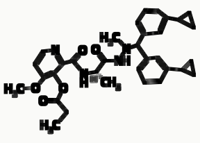 CCC(=O)Oc1c(OC)ccnc1C(=O)N[C@@H](C)C(=O)NN(C)C(c1cccc(C2CC2)c1)c1cccc(C2CC2)c1